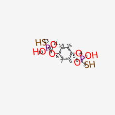 O=P(O)(S)Oc1ccc(OP(=O)(O)S)cc1